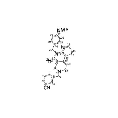 [2H]C1=C2CN(Cc3cccc(C#N)c3)CC=C2c2cccnc2N1Cc1ccc(NC)cc1